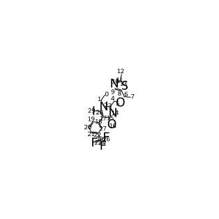 CCn1c(COC(C)c2cnc(C)s2)nc(=O)c(-c2cccc(C(F)(F)F)c2)c1I